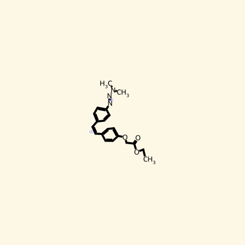 CCOC(=O)COc1ccc(/C=C\c2ccc(/N=N/N(C)C)cc2)cc1